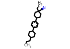 CCCC1CCC(c2ccc(C3CCC(C#N)(CC)CC3)cc2)CC1